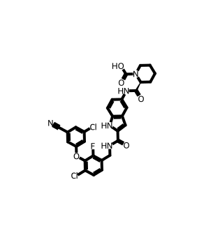 N#Cc1cc(Cl)cc(Oc2c(Cl)ccc(CNC(=O)c3cc4cc(NC(=O)[C@@H]5CCCCN5C(=O)O)ccc4[nH]3)c2F)c1